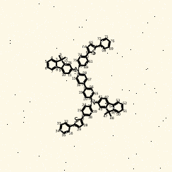 CC1(C)c2ccccc2-c2ccc(N(c3ccc(-c4ccc(N(c5ccc(-c6ccc(-c7ccccc7)s6)cc5)c5ccc6c(c5)C(C)(C)c5ccccc5-6)cc4)cc3)c3ccc(-c4ccc(-c5ccccc5)s4)cc3)cc21